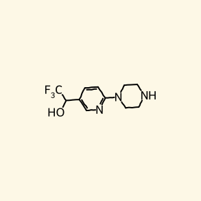 OC(c1ccc(N2CCNCC2)nc1)C(F)(F)F